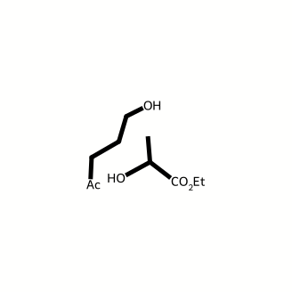 CC(=O)CCCO.CCOC(=O)C(C)O